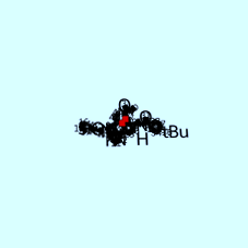 C=CC(=O)N1CCC(c2cn(COCC[Si](C)(C)C)c3ncnc(-c4ccc(CNC(=O)c5ccc(C(C)(C)C)cc5)c(F)c4)c23)CC1